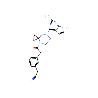 N#CCc1cccc(CC(=O)N2CCN(c3nc(N)nc4[nH]ccc34)CC23CC3)c1